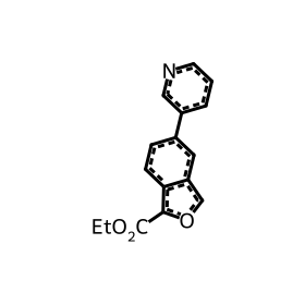 CCOC(=O)c1occ2cc(-c3cccnc3)ccc12